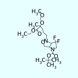 CCOC(=O)C(C)(CCCN1OCC2C1C(F)(F)CN2C(=O)OC(C)(C)C)OCOC